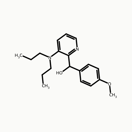 CCCN(CCC)c1cccnc1C(O)c1ccc(OC)cc1